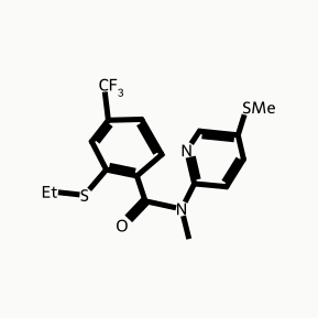 CCSc1cc(C(F)(F)F)ccc1C(=O)N(C)c1ccc(SC)cn1